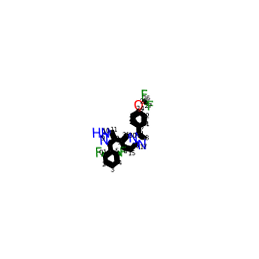 Fc1cccc(F)c1-c1n[nH]cc1-c1ccc2ncc(-c3ccc(OC(F)F)cc3)n2c1